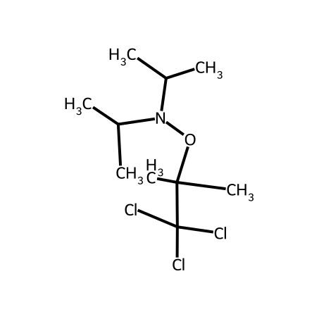 CC(C)N(OC(C)(C)C(Cl)(Cl)Cl)C(C)C